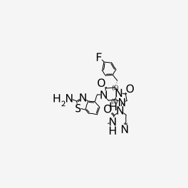 CNC(=O)N(CC#N)N1CC(=O)N2[C@@H](Cc3ccc(F)cc3)C(=O)N(Cc3cccc4sc(N)nc34)C[C@@H]21